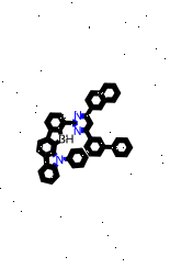 B1c2c(-c3nc(-c4cccc(-c5ccccc5)c4)cc(-c4ccc5ccccc5c4)n3)cccc2-c2ccc3c4ccccc4n(-c4ccccc4)c3c21